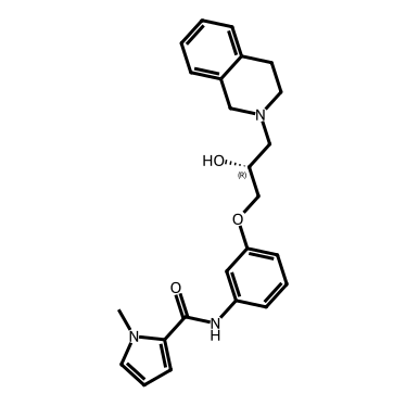 Cn1cccc1C(=O)Nc1cccc(OC[C@H](O)CN2CCc3ccccc3C2)c1